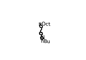 CCCCCCCCC1CCC(CCc2ccc(-c3ccc(CCCC)cn3)cc2)CC1